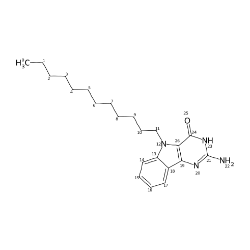 CCCCCCCCCCCCn1c2ccccc2c2nc(N)[nH]c(=O)c21